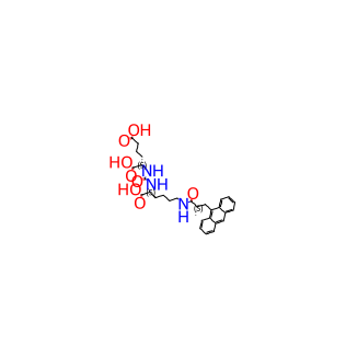 C[C@@H](Cc1c2ccccc2cc2ccccc12)C(=O)NCCCC[C@H](NC(=O)N[C@@H](CCCC(=O)O)C(=O)O)C(=O)O